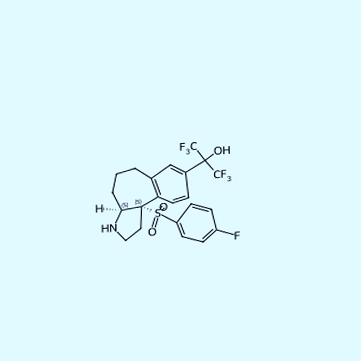 O=S(=O)(c1ccc(F)cc1)[C@]12CCN[C@H]1CCCc1cc(C(O)(C(F)(F)F)C(F)(F)F)ccc12